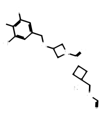 N[C@]1(COC=O)C[C@H](C(=O)N2CC(OCc3cc(Cl)c(F)c(Cl)c3)C2)C1